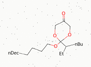 CCCCCCCCCCCCCCOC1(C(CC)CCCC)OCC(=O)CO1